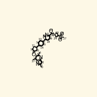 Cc1cc2nc(C)c(O[C@@H]3CCC(c4ccc(-c5ccc(C(=O)N6CC(S(C)(=O)=O)C6)nn5)cc4)C3)c(C)n2n1